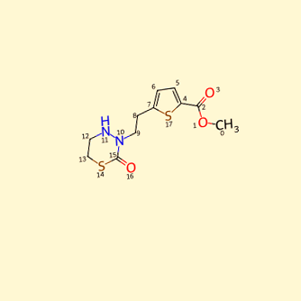 COC(=O)c1ccc(CCN2NCCSC2=O)s1